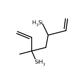 C=CC([SiH3])CC(C)([SiH3])C=C